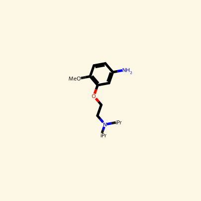 COc1ccc(N)cc1OCCN(C(C)C)C(C)C